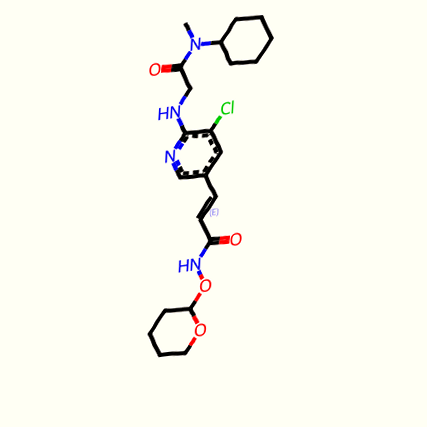 CN(C(=O)CNc1ncc(/C=C/C(=O)NOC2CCCCO2)cc1Cl)C1CCCCC1